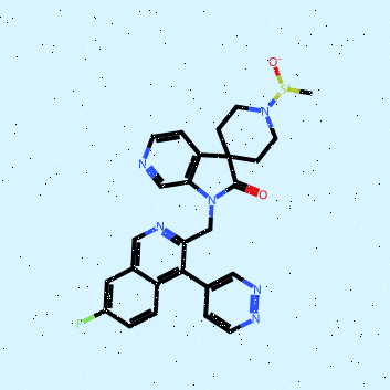 C[S+]([O-])N1CCC2(CC1)C(=O)N(Cc1ncc3cc(F)ccc3c1-c1ccnnc1)c1cnccc12